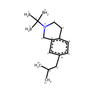 BC(B)(B)N1CCc2ccc(CC(C)C)cc2C1